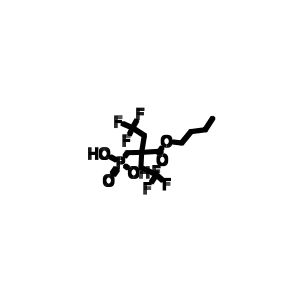 CCCCOC(=O)C(CC(F)(F)F)(CC(F)(F)F)CP(=O)(O)O